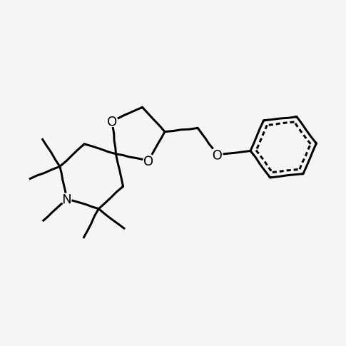 CN1C(C)(C)CC2(CC1(C)C)OCC(COc1ccccc1)O2